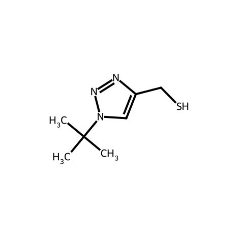 CC(C)(C)n1cc(CS)nn1